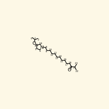 CC(C)O[C@@H]1CCN(CCCCCCCCCCCC(=O)C(C)C)C1